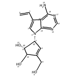 C=Cc1cn([C@@H]2C=C(CO)C(O)[C@@H]2O)c2ncnc(N)c12